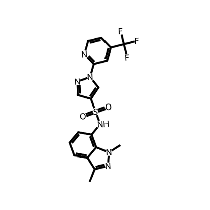 Cc1nn(C)c2c(NS(=O)(=O)c3cnn(-c4cc(C(F)(F)F)ccn4)c3)cccc12